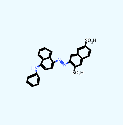 O=S(=O)(O)c1ccc2cc(S(=O)(=O)O)c(N=Nc3ccc(Nc4ccccc4)c4ccccc34)cc2c1